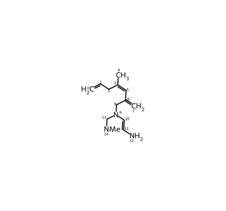 C=CC/C(C)=C\C(=C)CN(/C=C/N)CNC